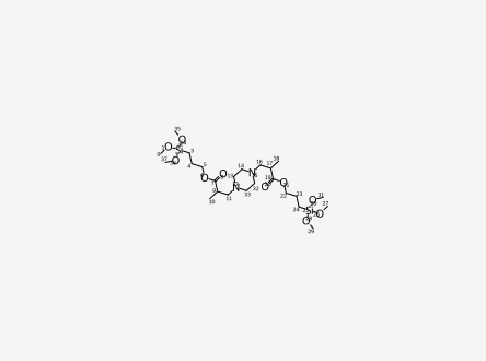 CO[Si](CCCOC(=O)C(C)CN1CCN(CC(C)C(=O)OCCC[Si](OC)(OC)OC)CC1)(OC)OC